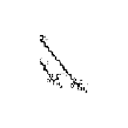 C=C(C)C(=O)OCCCCCCCCCCCCCCCCCC.C=C(CCC)C(=O)OCCCCCC